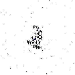 C/C=C\c1c(-c2cccc(NC(=O)/C=C/C(C)C)c2C)ccc(C(N)=O)c1C